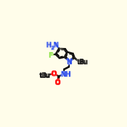 CC(C)(C)OC(=O)NCCn1c(C(C)(C)C)cc2cc(N)c(F)cc21